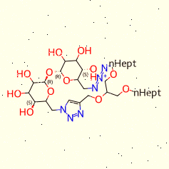 CCCCCCCOCC(COCCCCCCC)OCc1cn(CC2O[C@H](O[C@H]3OC(CN=[N+]=[N-])[C@@H](O)C(O)C3O)C(O)C(O)[C@@H]2O)nn1